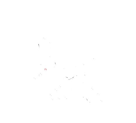 CC(=O)O[C@@H]1CC[C@@H](CN(Cc2ccccc2)C(=O)OCc2ccccc2)O[C@@H]1O[C@@H]1C(N=[N+]=[N-])CC(N=[N+]=[N-])[C@H](O)[C@H]1O[C@@H]1O[C@H](CO)[C@@H](O[C@H]2O[C@@H](CN=[N+]=[N-])[C@@H](O)[C@H](O)C2N=[N+]=[N-])[C@H]1O